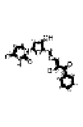 O=C(C(Br)=COC[C@@H]1O[C@H](n2ccc(=O)[nH]c2=O)CC1O)c1ccccc1